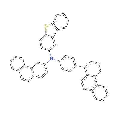 c1ccc2c(c1)ccc1ccc(N(c3ccc(-c4cccc5c4ccc4ccccc45)cc3)c3ccc4sc5ccccc5c4c3)cc12